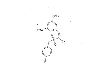 COc1cc(/C=C(/C#N)S(=O)(=O)Cc2ccc(F)cc2)cc(OC)c1